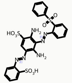 Nc1c(/N=N/c2ccccc2S(=O)(=O)O)cc(S(=O)(=O)O)c(N)c1/N=N/c1ccccc1S(=O)(=O)c1ccccc1